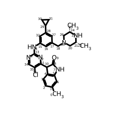 Cc1ccc2c(c1)NC(=O)C2c1nc(Nc2cc(CN3C[C@@H](C)N[C@@H](C)C3)cc(C3CC3)c2)ncc1Cl